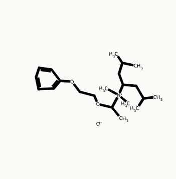 CC(C)CC(CC(C)C)[N+](C)(C)C(C)OCCOc1ccccc1.[Cl-]